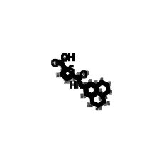 CC12CCCc3cc(NC(=O)c4ccc(C(=O)O)s4)cc(c31)CCC2